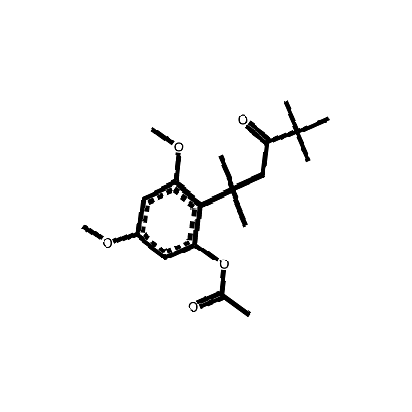 COc1cc(OC)c(C(C)(C)CC(=O)C(C)(C)C)c(OC(C)=O)c1